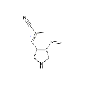 C=NC1=C(/C=C(\C)C#N)CNC1